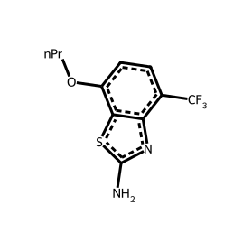 CCCOc1ccc(C(F)(F)F)c2nc(N)sc12